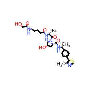 Cc1ncsc1-c1ccc([C@H](C)NC(=O)[C@@H]2C[C@@H](O)CN2C(=O)[C@@H](NC(=O)CCCCNC(=O)CO)C(C)(C)C)cc1